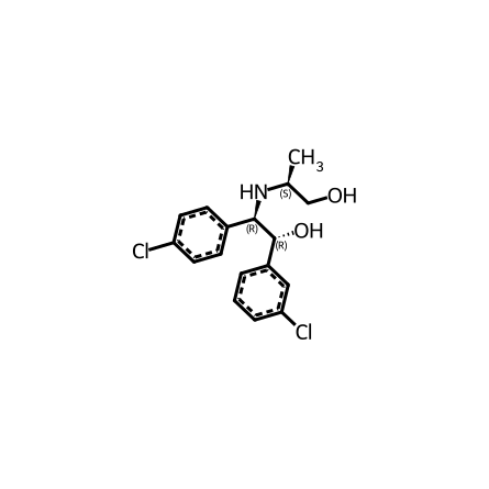 C[C@@H](CO)N[C@H](c1ccc(Cl)cc1)[C@H](O)c1cccc(Cl)c1